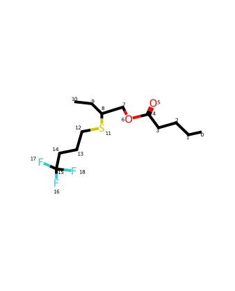 CCCCC(=O)OCC(CC)SCCCC(F)(F)F